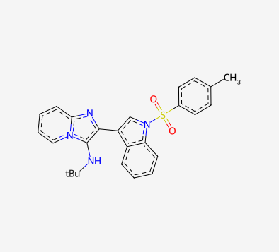 Cc1ccc(S(=O)(=O)n2cc(-c3nc4ccccn4c3NC(C)(C)C)c3ccccc32)cc1